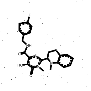 CN1c2ccccc2CCC1c1nc(C(=O)NCc2ccc(F)cc2)c(O)c(=O)n1C